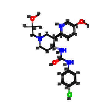 COc1ccc([C@@H]2CN(CC(C)(C)OC)CC[C@H]2NC(=O)Nc2ccc(Cl)cc2)nc1